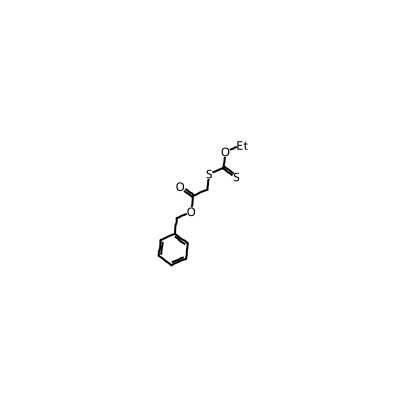 CCOC(=S)SCC(=O)OCc1ccccc1